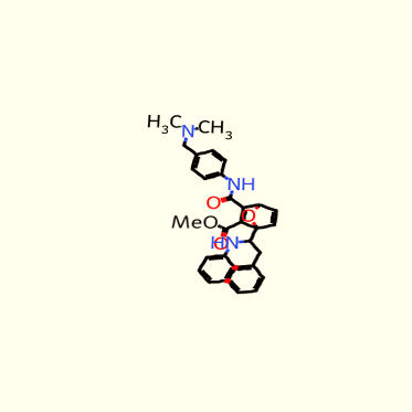 COC(=O)C1=C(C(=O)Nc2ccc(CN(C)C)cc2)C2C=CC1(C(Cc1ccccc1)Nc1ccccc1)O2